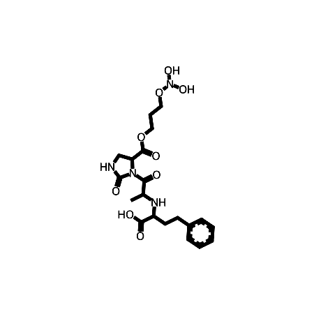 CC(NC(CCc1ccccc1)C(=O)O)C(=O)N1C(=O)NCC1C(=O)OCCCON(O)O